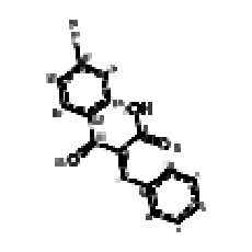 O=C(O)C(=Cc1ccccc1)C(=O)c1ccc(F)cc1